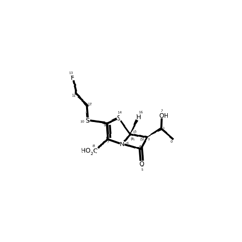 CC(O)[C@H]1C(=O)N2C(C(=O)O)=C(SCCF)S[C@H]12